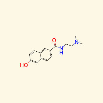 CN(C)CCNC(=O)c1ccc2cc(O)ccc2c1